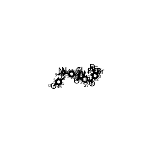 COc1ccc(Cn2c(C)nnc2-c2ccc(-n3c(Cl)nc4c(c3=O)C[C@@H](C)N(C(=O)c3ccc(Br)c(C(F)(F)F)c3)C4)cc2)cc1